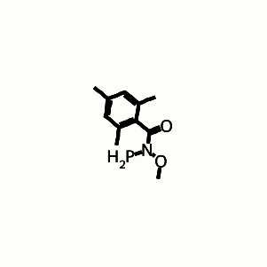 CON(P)C(=O)c1c(C)cc(C)cc1C